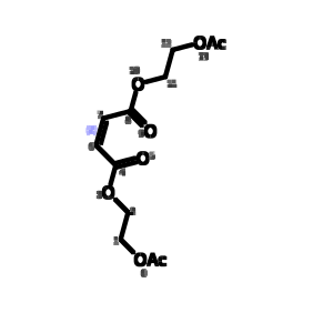 CC(=O)OCCOC(=O)/C=C\C(=O)OCCOC(C)=O